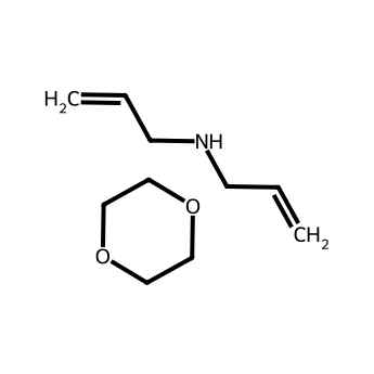 C1COCCO1.C=CCNCC=C